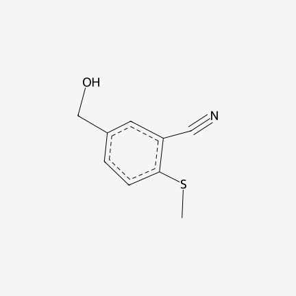 CSc1ccc(CO)cc1C#N